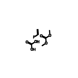 C=CF.COC(=O)OC.O=C(O)O